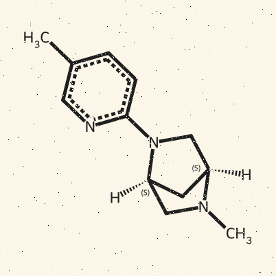 Cc1ccc(N2C[C@@H]3C[C@H]2CN3C)nc1